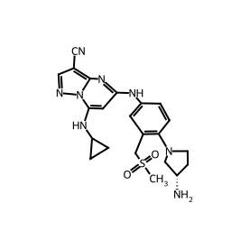 CS(=O)(=O)Cc1cc(Nc2cc(NC3CC3)n3ncc(C#N)c3n2)ccc1N1CC[C@H](N)C1